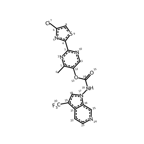 Cc1nc(-c2nc(Cl)cs2)ncc1OC(=O)Nn1cc(C(F)(F)F)c2ccncc21